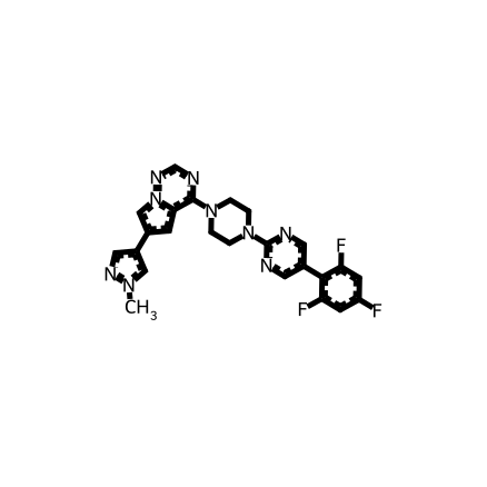 Cn1cc(-c2cc3c(N4CCN(c5ncc(-c6c(F)cc(F)cc6F)cn5)CC4)ncnn3c2)cn1